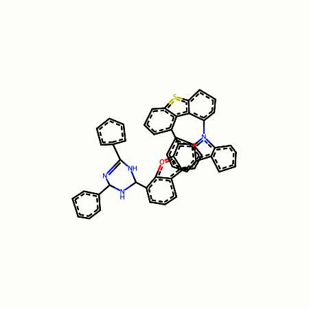 c1ccc(C2=NC(c3ccccc3)NC(c3cccc4c3oc3c(-c5cccc6sc7cccc(-n8c9ccccc9c9ccccc98)c7c56)cccc34)N2)cc1